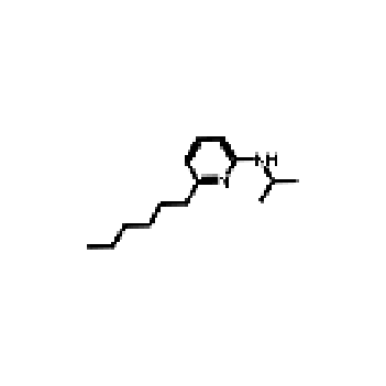 CCCCCCc1cccc(NC(C)C)n1